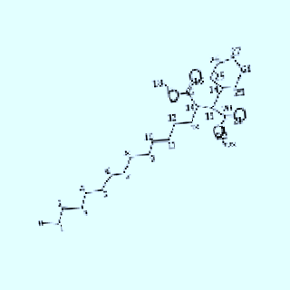 CCCCCCCCCCCCCCC(C(=O)OC)C(C(=O)OC)C1CCCCC1